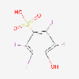 O=S(=O)(O)c1c(I)c(I)c(O)c(I)c1I